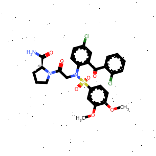 COc1ccc(S(=O)(=O)N(CC(=O)N2CCC[C@H]2C(N)=O)c2ccc(Cl)cc2C(=O)c2ccccc2Cl)cc1OC